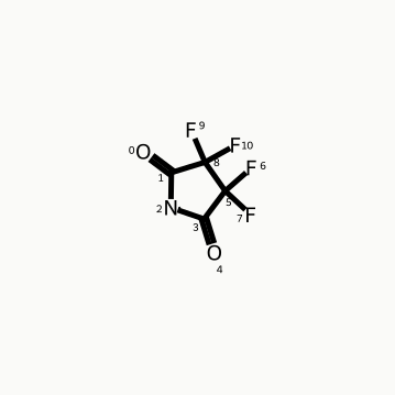 O=C1[N]C(=O)C(F)(F)C1(F)F